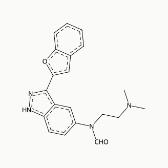 CN(C)CCN(C=O)c1ccc2[nH]nc(-c3cc4ccccc4o3)c2c1